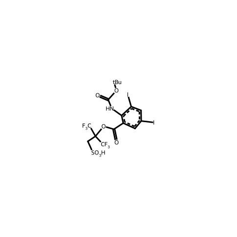 CC(C)(C)OC(=O)Nc1c(I)cc(I)cc1C(=O)OC(CS(=O)(=O)O)(C(F)(F)F)C(F)(F)F